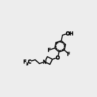 OCc1cc(F)c(OC2CN(CCC(F)(F)F)C2)c(F)c1